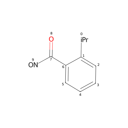 CC(C)c1ccccc1C(=O)N=O